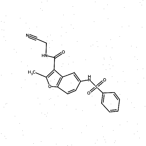 Cc1oc2ccc(NS(=O)(=O)c3ccccc3)cc2c1C(=O)NCC#N